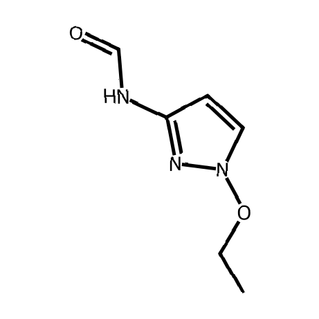 CCOn1ccc(NC=O)n1